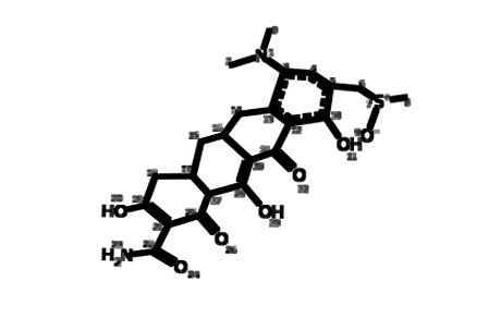 CN(C)c1cc(C[S+](C)[O-])c(O)c2c1CC1CC3CC(O)=C(C(N)=O)C(=O)C3C(O)=C1C2=O